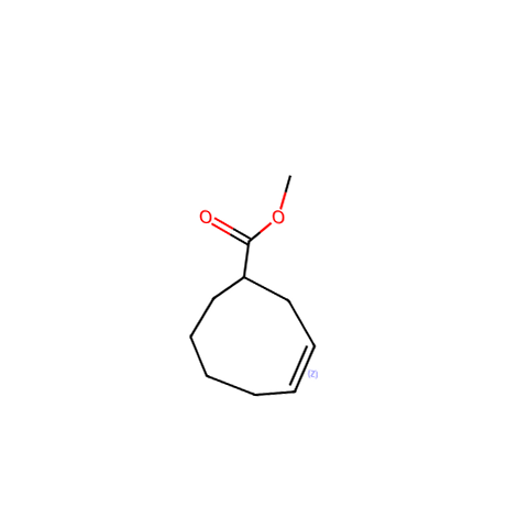 COC(=O)C1C/C=C\CCCC1